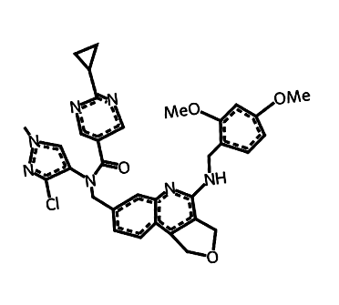 COc1ccc(CNc2nc3cc(CN(C(=O)c4cnc(C5CC5)nc4)c4cn(C)nc4Cl)ccc3c3c2COC3)c(OC)c1